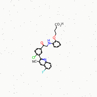 N#Cc1cc2c(F)cccc2nc1-c1cc(C(=O)CNc2ccccc2OCCCC(=O)O)ccc1Cl